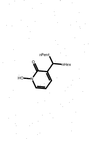 CCCCCCC(CCCCC)c1cccn(O)c1=O